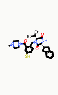 CCC(CC)[C@@H]1C(=O)N[C@H](C2Cc3ccccc3C2)C(=O)N1Cc1ccc(S)cc1C(=O)N1CCN(C)CC1